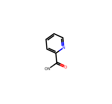 O=NC(=O)c1ccccn1